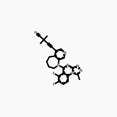 Cc1nnc2nc(N3CCCCc4c(C#CC(C)(C)C#N)cncc43)c3c(F)c(F)ccc3n12